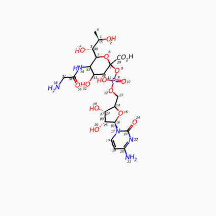 C[C@@H](O)[C@@H](O)C1OC(OP(=O)(O)OCC2O[C@@H](n3ccc(N)nc3=O)[C@H](O)[C@@H]2O)(C(=O)O)CC(O)C1NC(=O)CN